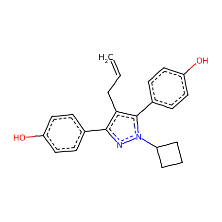 C=CCc1c(-c2ccc(O)cc2)nn(C2CCC2)c1-c1ccc(O)cc1